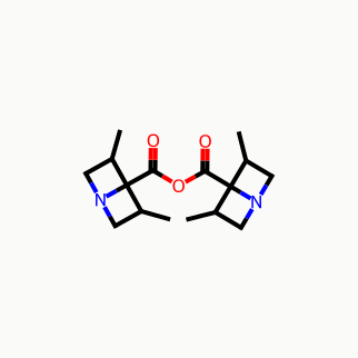 CC1CN2CC(C)C12C(=O)OC(=O)C12C(C)CN1CC2C